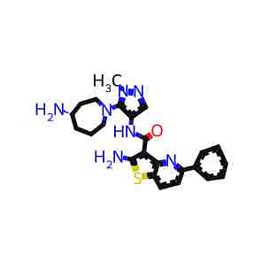 Cn1ncc(NC(=O)c2c(N)sc3ccc(-c4ccccc4)nc23)c1N1CCC[C@H](N)CC1